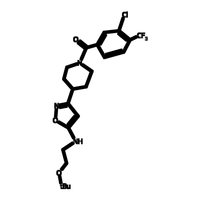 CC(C)(C)OCCNc1cc(C2CCN(C(=O)c3ccc(C(F)(F)F)c(Cl)c3)CC2)no1